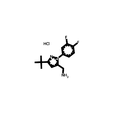 CC(C)(C)c1cc(CN)n(-c2ccc(F)c(F)c2)n1.Cl